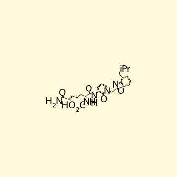 CC(C)Cc1cccc2oc(Cn3cccc(NC(=O)C(CCC=CC(N)=O)NC(=O)O)c3=O)nc12